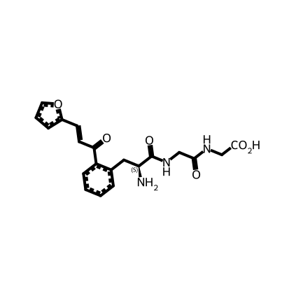 N[C@@H](Cc1ccccc1C(=O)C=Cc1ccco1)C(=O)NCC(=O)NCC(=O)O